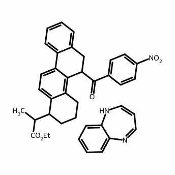 C1=CNc2ccccc2N=C1.CCOC(=O)C(C)C1CCCc2c1ccc1c2C(C(=O)c2ccc([N+](=O)[O-])cc2)Cc2ccccc2-1